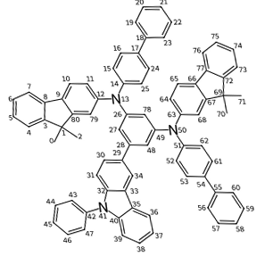 CC1(C)c2ccccc2-c2ccc(N(c3ccc(-c4ccccc4)cc3)c3cc(-c4ccc5c(c4)c4ccccc4n5-c4ccccc4)cc(N(c4ccc(-c5ccccc5)cc4)c4ccc5c(c4)C(C)(C)c4ccccc4-5)c3)cc21